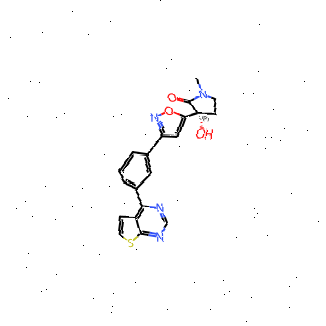 CN1CC[C@@](O)(c2cc(-c3cccc(-c4ncnc5sccc45)c3)no2)C1=O